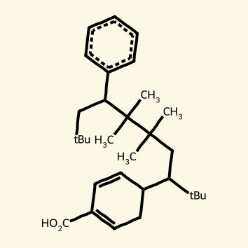 CC(C)(C)CC(c1ccccc1)C(C)(C)C(C)(C)CC(C1C=CC(C(=O)O)=CC1)C(C)(C)C